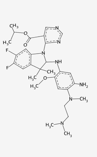 COc1cc(N(C)CCN(C)C)c(N)cc1NC1N(c2ncncc2C(=O)OC(C)C)c2cc(F)c(F)cc2C1(C)C